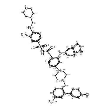 O=C(NS(=O)(=O)c1ccc(NCC2CCOCC2)c([N+](=O)[O-])c1)c1ccc(N2CCN(Cc3ccc(C(F)(F)F)cc3-c3ccc(Cl)cc3)CC2)cc1Oc1ccc2[nH]ccc2c1